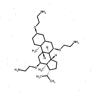 CC(C)[C@H]1CC[C@H]2[C@@H]3[C@H](OCCN)CC4C[C@H](OCCN)CC[C@]4(C)[C@H]3C[C@H](OCCN)[C@]12C